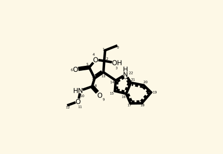 CCC1(O)OC(=O)C(C(=O)NOC)=C1c1cc2ccccc2[nH]1